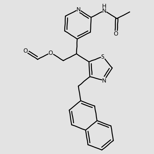 CC(=O)Nc1cc(C(COC=O)c2scnc2Cc2ccc3ccccc3c2)ccn1